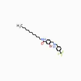 CCCCCCCCCCCCNC(=O)c1ccc(CNCc2ccc(C(F)(F)F)cc2)c(Br)c1